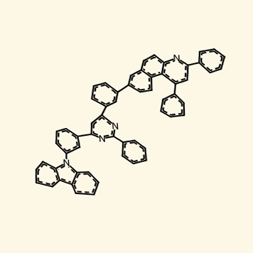 c1ccc(-c2cc(-c3ccccc3)c3c(ccc4cc(-c5cccc(-c6cc(-c7cccc(-n8c9ccccc9c9ccccc98)c7)nc(-c7ccccc7)n6)c5)ccc43)n2)cc1